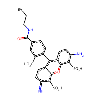 CC(C)CCNC(=O)c1ccc(-c2c3ccc(=N)c(S(=O)(=O)O)c-3oc3c(S(=O)(=O)O)c(N)ccc23)c(C(=O)O)c1